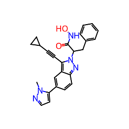 Cn1nccc1-c1ccc2nn(C(Cc3ccccc3)C(=O)NO)c(C#CC3CC3)c2c1